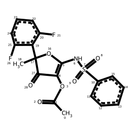 CC(=O)OC1=C(NS(=O)(=O)c2ccccc2)OC(C)(c2c(F)cccc2F)C1=O